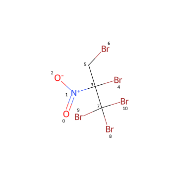 O=[N+]([O-])C(Br)(CBr)C(Br)(Br)Br